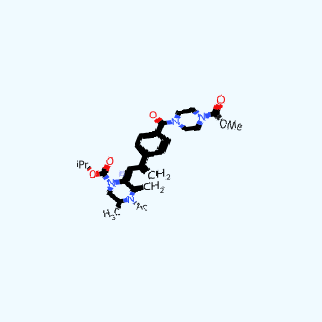 C=C(/C=C1\C(=C)N(C(C)=O)C(C)CN1C(=O)OC(C)C)c1ccc(C(=O)N2CCN(C(=O)OC)CC2)cc1